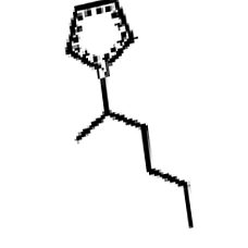 CCCCC(C)n1[c]ccc1